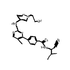 Cc1cnc(Nc2cnn(CCO)c2)nc1-c1ccc(C(=O)NC(C#N)C(C)C)cc1